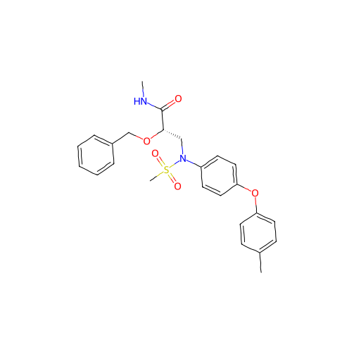 CNC(=O)[C@H](CN(c1ccc(Oc2ccc(C)cc2)cc1)S(C)(=O)=O)OCc1ccccc1